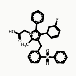 Cc1c(Cc2ccccc2S(=O)(=O)c2ccccc2)c(C2C=CC=C(F)C2)c(-c2ccccc2)n1CC(=O)O